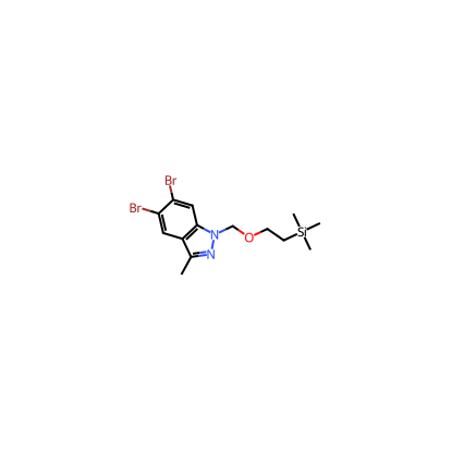 Cc1nn(COCC[Si](C)(C)C)c2cc(Br)c(Br)cc12